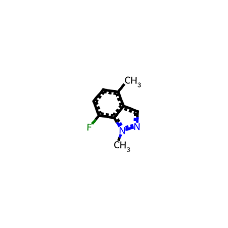 Cc1ccc(F)c2c1cnn2C